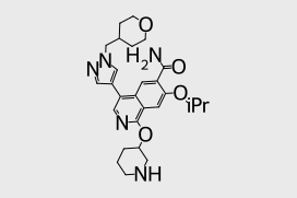 CC(C)Oc1cc2c(OC3CCCNC3)ncc(-c3cnn(CC4CCOCC4)c3)c2cc1C(N)=O